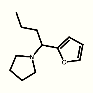 CCCC(c1ccco1)N1CCCC1